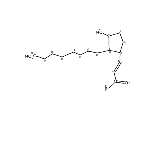 CCC(=O)/C=C/C1CCC(O)C1CCCCCCCC(=O)O